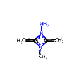 C=c1n(C)c(=C)n1N